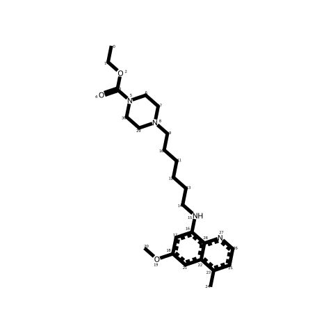 CCOC(=O)N1CCN(CCCCCCNc2cc(OC)cc3c(C)ccnc23)CC1